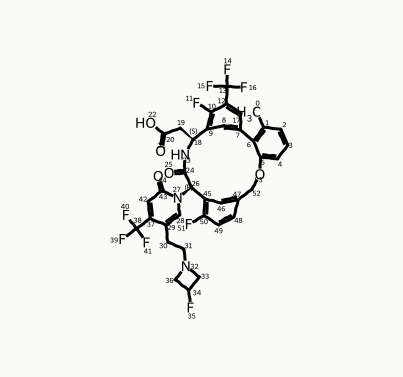 Cc1cccc2c1-c1cc(c(F)c(C(F)(F)F)c1)[C@H](CC(=O)O)NC(=O)[C@H](n1cc(CCN3CC(F)C3)c(C(F)(F)F)cc1=O)c1cc(ccc1F)CO2